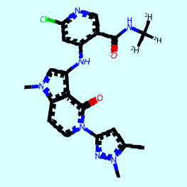 [2H]C([2H])([2H])NC(=O)c1cnc(Cl)cc1Nc1cn(C)c2ccn(-c3cc(C)n(C)n3)c(=O)c12